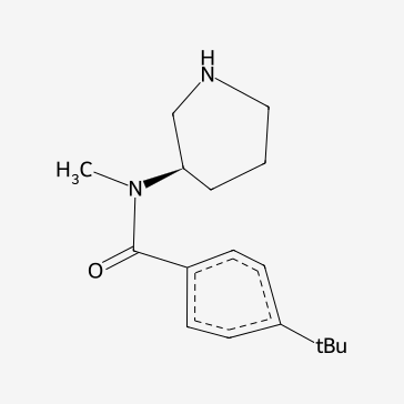 CN(C(=O)c1ccc(C(C)(C)C)cc1)[C@@H]1CCCNC1